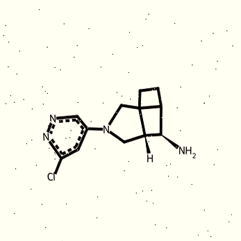 N[C@@H]1C2CCC23CN(c2cnnc(Cl)c2)C[C@@H]13